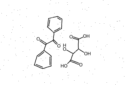 O=C(C(=O)c1ccccc1)c1ccccc1.O=C(O)C(O)C(O)C(=O)O